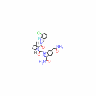 NC(=O)Cc1ccc2c(C(N)=O)nn(CC(=O)N3[C@@H]4CC[C@@H](C4)[C@H]3C(=O)NCc3cccc(Cl)c3F)c2c1